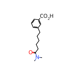 CN(C)C(=O)CCCCCc1cccc(C(=O)O)c1